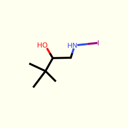 CC(C)(C)C(O)CNI